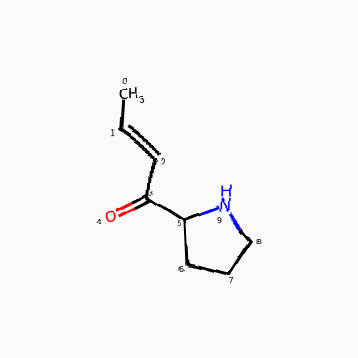 CC=CC(=O)C1CCCN1